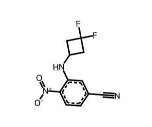 N#Cc1ccc([N+](=O)[O-])c(NC2CC(F)(F)C2)c1